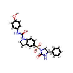 COc1ccc(NC(=O)N2CCc3cc(S(=O)(=O)N4CC(c5ccccc5)NC4=O)ccc32)cc1